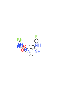 Cc1cc(Nc2ccc(F)cc2)c(C=N)cc1[C@@H]1CN(S(=O)(=O)c2cnn(CC(F)(F)F)n2)CCN1CC(C)C